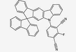 N#Cc1ccc(-n2c3ccccc3c3cc4c(cc32)C2(c3ccccc3-c3ccccc32)c2ccccc2-4)c(C#N)c1F